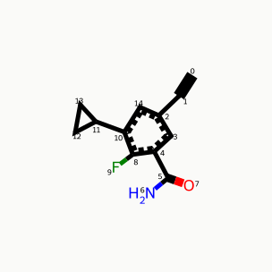 C#Cc1cc(C(N)=O)c(F)c(C2CC2)c1